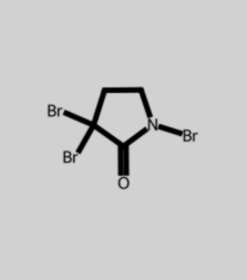 O=C1N(Br)CCC1(Br)Br